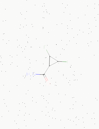 NC(=O)C1C(F)C1F